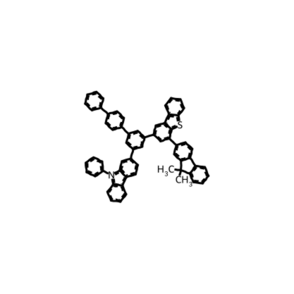 CC1(C)c2ccccc2-c2ccc(-c3cc(-c4cc(-c5ccc(-c6ccccc6)cc5)cc(-c5ccc6c7ccccc7n(-c7ccccc7)c6c5)c4)cc4c3sc3ccccc34)cc21